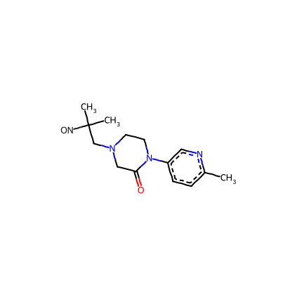 Cc1ccc(N2CCN(CC(C)(C)N=O)CC2=O)cn1